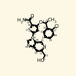 CC(Oc1cc(-n2cnc3cc(CO)ncc32)sc1C(N)=O)c1ccccc1Cl